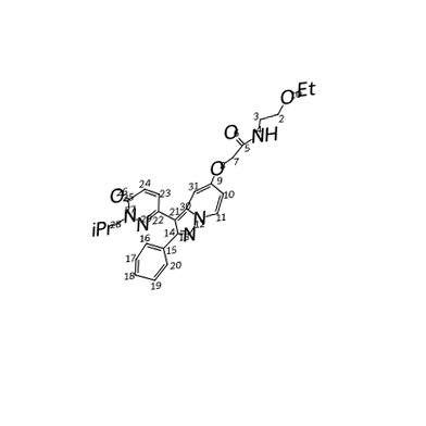 CCOCCNC(=O)COc1ccn2nc(-c3ccccc3)c(-c3ccc(=O)n(C(C)C)n3)c2c1